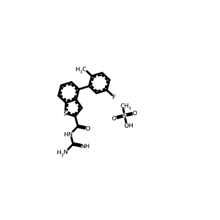 CS(=O)(=O)O.Cc1ccc(F)cc1-c1cccc2sc(C(=O)NC(=N)N)cc12